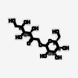 O=C(COC1O[C@H](CO)[C@H](O)[C@H](O)[C@H]1O)[C@@H](O)[C@@H](O)[C@H](O)CO